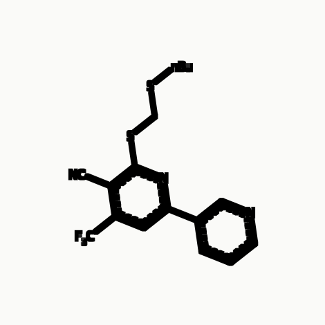 CCCCSCSc1nc(-c2cccnc2)cc(C(F)(F)F)c1C#N